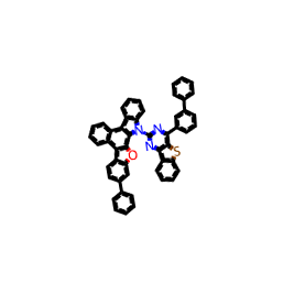 c1ccc(-c2cccc(-c3nc(-n4c5ccccc5c5c6ccccc6c6c7ccc(-c8ccccc8)cc7oc6c54)nc4c3sc3ccccc34)c2)cc1